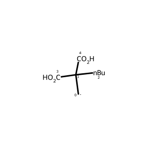 [CH2]C(CCCC)(C(=O)O)C(=O)O